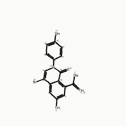 C=C(O)c1cc(O)cc2c(Br)cn(-c3ccc(O)cc3)c(=O)c12